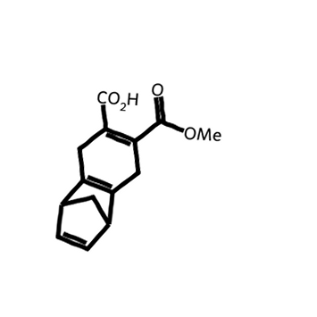 COC(=O)C1=C(C(=O)O)CC2=C(C1)C1C=CC2C1